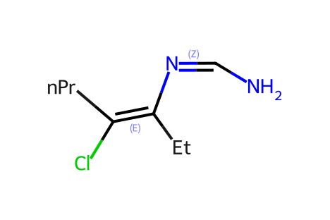 CCC/C(Cl)=C(CC)\N=C/N